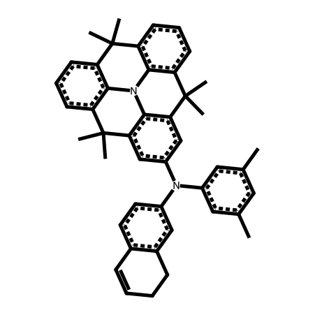 Cc1cc(C)cc(N(c2ccc3c(c2)CCC=C3)c2cc3c4c(c2)C(C)(C)c2cccc5c2N4c2c(cccc2C3(C)C)C5(C)C)c1